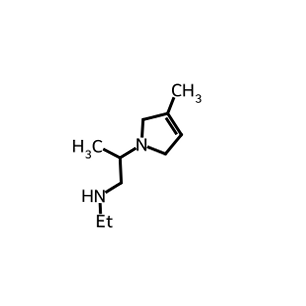 CCNCC(C)N1CC=C(C)C1